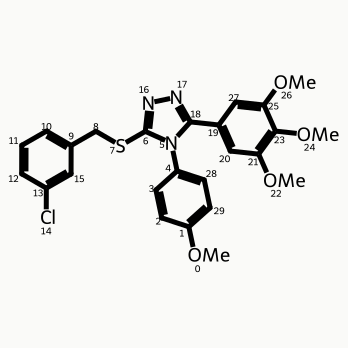 COc1ccc(-n2c(SCc3cccc(Cl)c3)nnc2-c2cc(OC)c(OC)c(OC)c2)cc1